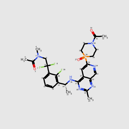 CC(=O)N(C)CC(F)(F)c1cccc([C@@H](C)Nc2nc(C)nc3cnc(P4(=O)CCN(C(C)=O)CC4)cc23)c1F